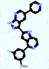 COc1cc(F)cc(-c2nccc3[nH]c(-c4n[nH]c5ncc(-c6ccncc6)cc45)cc23)c1